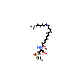 CCCCC/C=C\C/C=C\CCCCCCCC(=O)NC(CC[S+](C)[O-])C(=O)O